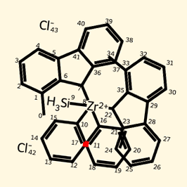 Cc1cccc2c1[CH]([Zr+2]([SiH3])([c]1ccccc1)([c]1ccccc1)[CH]1c3ccccc3-c3cccc(C)c31)c1ccccc1-2.[Cl-].[Cl-]